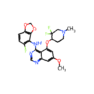 COc1cc(OC2CCN(C)CC2(F)F)c2c(Nc3c(F)ccc4c3OCO4)ncnc2c1